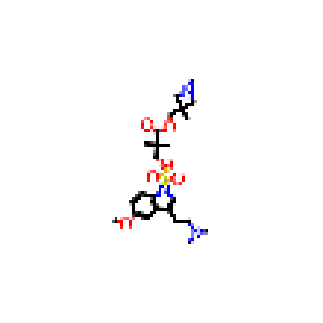 COc1ccc2c(c1)c(CCN(C)C)cn2S(=O)(=O)OCC(C)(C)C(=O)OCC1(C)CN(C)C1